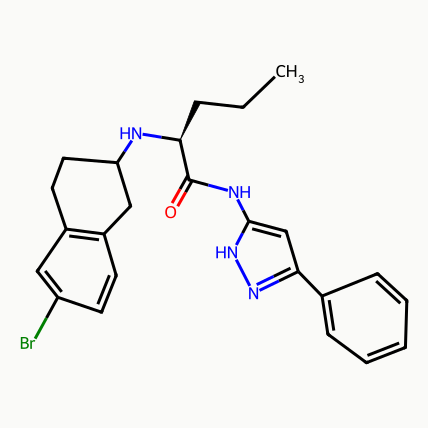 CCC[C@H](NC1CCc2cc(Br)ccc2C1)C(=O)Nc1cc(-c2ccccc2)n[nH]1